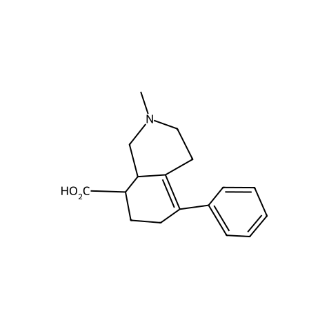 CN1CCC2=C(c3ccccc3)CCC(C(=O)O)C2C1